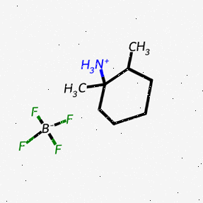 CC1CCCCC1(C)[NH3+].F[B-](F)(F)F